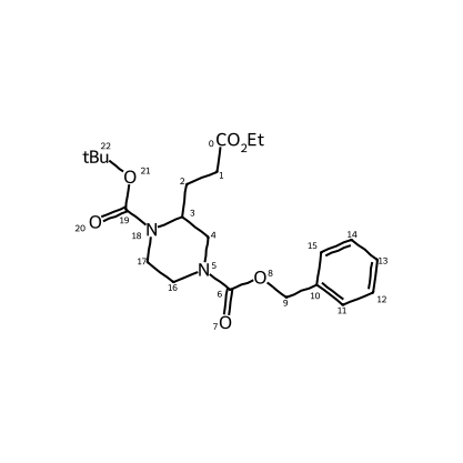 CCOC(=O)CCC1CN(C(=O)OCc2ccccc2)CCN1C(=O)OC(C)(C)C